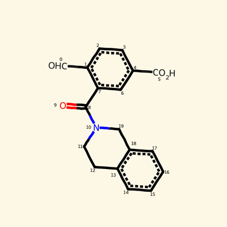 O=Cc1ccc(C(=O)O)cc1C(=O)N1CCc2ccccc2C1